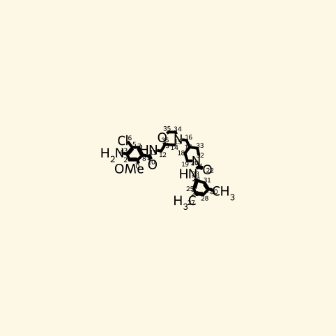 COc1cc(N)c(Cl)cc1C(=O)NCC1CN(CC2CCN(C(=O)Nc3cc(C)cc(C)c3)CC2)CCO1